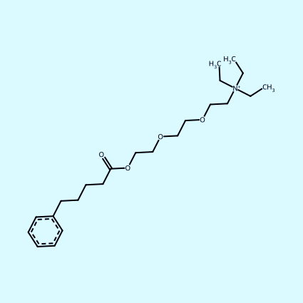 CC[N+](CC)(CC)CCOCCOCCOC(=O)CCCCc1ccccc1